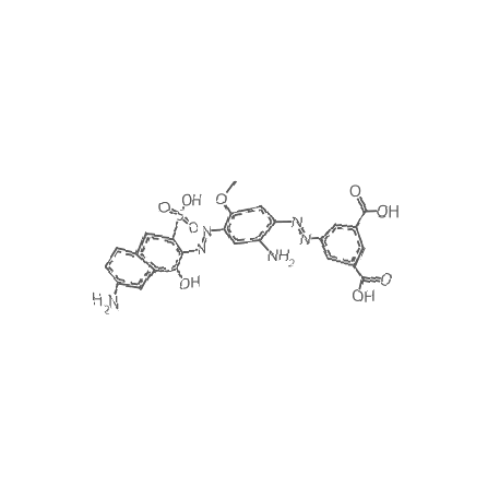 COc1cc(/N=N/c2cc(C(=O)O)cc(C(=O)O)c2)c(N)cc1/N=N/c1c(S(=O)(=O)O)cc2ccc(N)cc2c1O